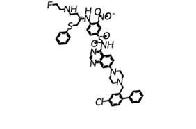 O=[N+]([O-])c1cc(S(=O)(=O)Nc2ncnc3cc(N4CCN(Cc5cc(Cl)ccc5-c5ccccc5)CC4)ccc23)ccc1N[C@H](CCNCCF)CSc1ccccc1